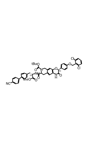 COC(=O)[C@H](Cc1ccc(-c2ccc(C#N)cc2)cc1)NC(=O)C1Cc2cc3c(cc2CN1C(=O)OC(C)(C)C)O[C@@H](c1ccc(OCc2c(Cl)cccc2Cl)cc1)C(=O)N3